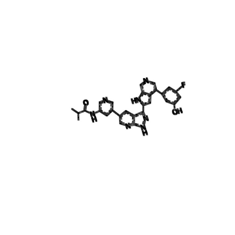 CC(C)C(=O)Nc1cncc(-c2cnc3[nH]nc(-c4cc5c(-c6cc(O)cc(F)c6)cncc5[nH]4)c3c2)c1